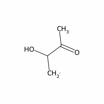 [CH2]C(O)C(C)=O